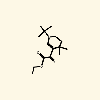 CCOC(=O)C(=O)C1=CN(C(C)(C)C)CCC1(C)C